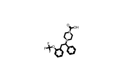 O=C(O)N1CCN(C(Cc2ccccc2OC(F)(F)F)c2ccccc2)CC1